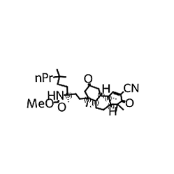 CCCC(C)(C)CC[C@@](C)(CC[C@]1(C)CC(=O)C[C@@H]2[C@@]3(C)C=C(C#N)C(=O)C(C)(C)[C@@H]3CC[C@]21C)NC(=O)OC